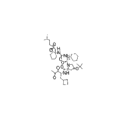 CC(=O)C(=O)C(CC1CCC1)NC(=O)[C@@H]1C[C@@H](OC(C)(C)C)CN1C(=O)[C@@H](NC(=O)NC1(CS(=O)(=O)CCC(C)C)CCCCC1)C1CCCCC1